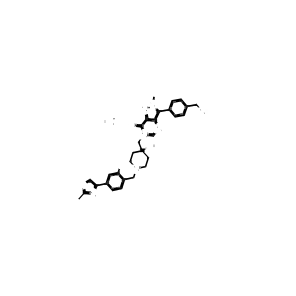 Cc1nc(-c2ccc(CN3CCC(O)(Cn4cnc5c(-c6ccc(CN)cc6)n(C)nc5c4=O)CC3)c(F)c2)cs1.Cl.Cl